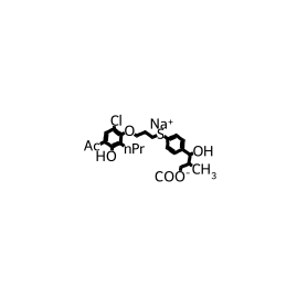 CCCc1c(O)c(C(C)=O)cc(Cl)c1OCCCSc1ccc(C(O)C(C)CC(=O)[O-])cc1.[Na+]